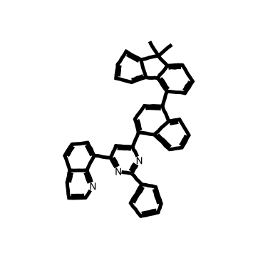 CC1(C)c2ccccc2-c2c(-c3ccc(-c4cc(-c5cccc6cccnc56)nc(-c5ccccc5)n4)c4ccccc34)cccc21